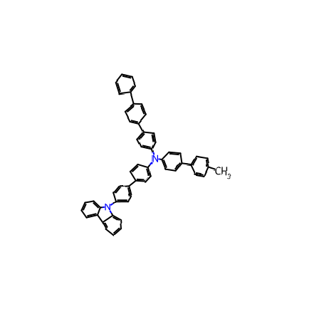 Cc1ccc(-c2ccc(N(c3ccc(-c4ccc(-c5ccccc5)cc4)cc3)c3ccc(-c4ccc(-n5c6ccccc6c6ccccc65)cc4)cc3)cc2)cc1